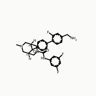 CN1C[C@@H]2CN(C(=O)Nc3cc(F)cc(F)c3)C[C@H](C1)C2(O)c1ccc(-c2ccc(CN)cc2F)cc1